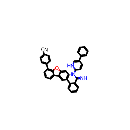 N#Cc1ccc(-c2cccc3c2oc2ccc(-c4ccccc4C(=N)NC4C=CC(c5ccccc5)=CN4)cc23)cc1